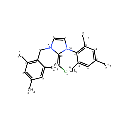 Cc1cc(C)c(Cn2ccn(-c3c(C)cc(C)cc3C)[c]2=[Au-2][Cl])c(C)c1